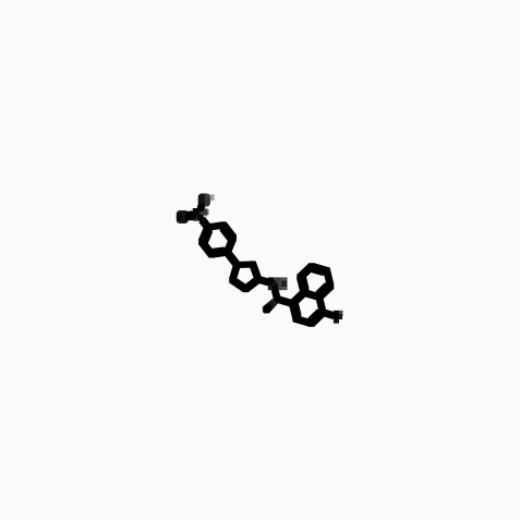 C[C@@H](NC1CCC(c2ccc([N+](=O)[O-])cc2)C1)c1ccc(F)c2ccccc12